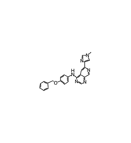 Cn1cnc(-c2cc3c(Nc4ccc(OCc5ccccc5)cc4)ncnc3cn2)c1